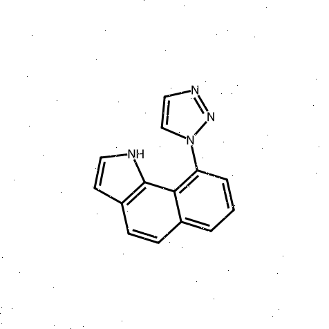 c1cc(-n2ccnn2)c2c(c1)ccc1cc[nH]c12